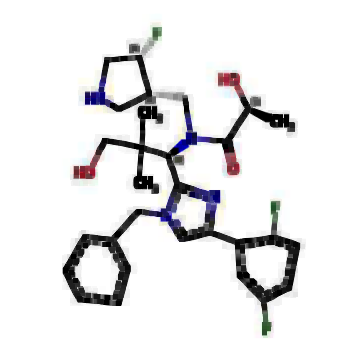 C[C@H](O)C(=O)N(C[C@@H]1CNC[C@@H]1F)[C@@H](c1nc(-c2cc(F)ccc2F)cn1Cc1ccccc1)C(C)(C)CO